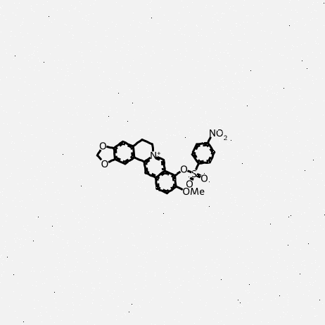 COc1ccc2cc3[n+](cc2c1OS(=O)(=O)c1ccc([N+](=O)[O-])cc1)CCc1cc2c(cc1-3)OCO2